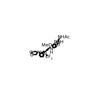 COc1cc(S(=O)(=O)NCCNC(C)=O)ccc1NCC#Cc1cc2c(NC3CCS(=O)(=O)CC3)cccc2n1CC(F)(F)F